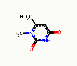 O=C(O)c1cc(=O)[nH]c(=O)n1C(F)(F)F